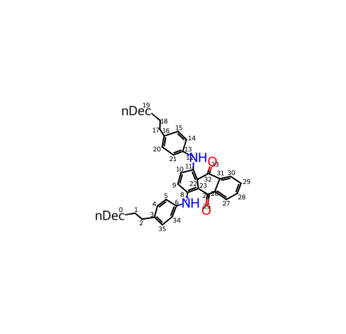 CCCCCCCCCCCCc1ccc(Nc2ccc(Nc3ccc(CCCCCCCCCCCC)cc3)c3c2C(=O)c2ccccc2C3=O)cc1